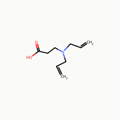 C=CCN(CC=C)CCC(=O)O